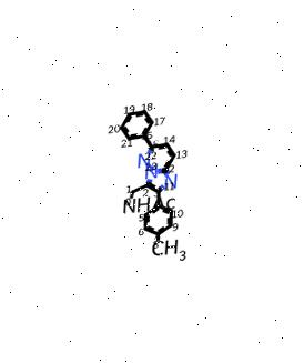 CC(=O)NCc1c(-c2ccc(C)cc2)nc2ccc(-c3ccccc3)nn12